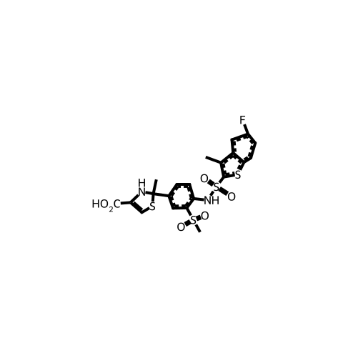 Cc1c(S(=O)(=O)Nc2ccc(C3(C)NC(C(=O)O)=CS3)cc2S(C)(=O)=O)sc2ccc(F)cc12